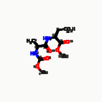 CC(NC(=O)OC(C)(C)C)C(=O)NC(CC(=O)O)C(=O)OC(C)(C)C